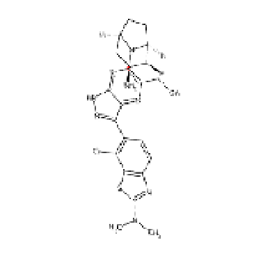 CN(C)c1nc2ccc(-c3n[nH]c4nc(N5[C@@H]6CC[C@H]5[C@@H](F)[C@@H](N)C6)c(CO)nc34)c(Cl)c2s1